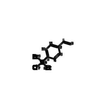 C=Cc1ccc([Si](Cl)(CC)CC)cc1